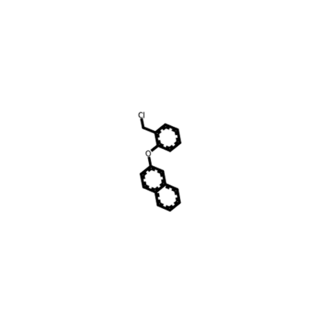 ClCc1ccccc1Oc1ccc2ccccc2c1